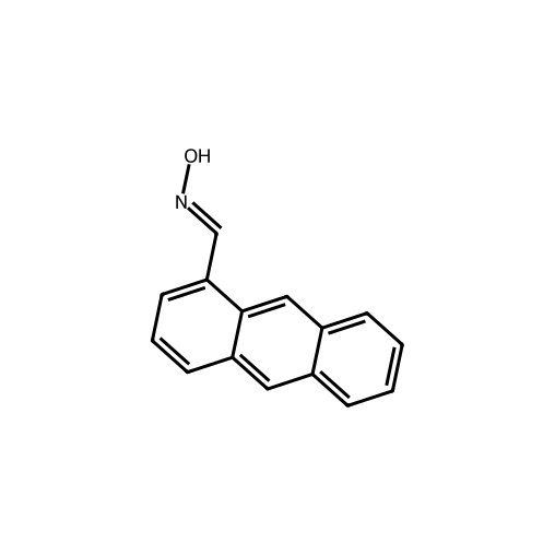 ON=Cc1cccc2cc3ccccc3cc12